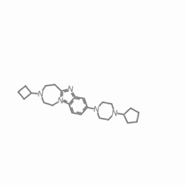 c1cc2c(cc1N1CCN(C3CCCC3)CC1)nc1n2CCN(C2CCC2)CC1